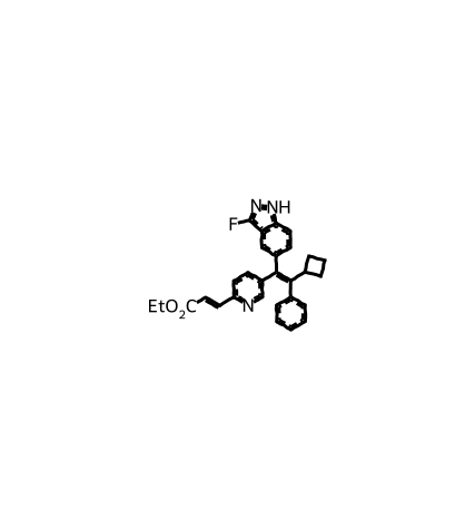 CCOC(=O)C=Cc1ccc(C(=C(c2ccccc2)C2CCC2)c2ccc3[nH]nc(F)c3c2)cn1